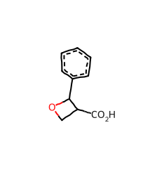 O=C(O)C1COC1c1ccccc1